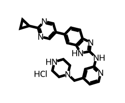 Cl.c1cc(CN2CCNCC2)cc(Nc2nc3ccc(-c4cnc(C5CC5)nc4)cc3[nH]2)n1